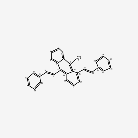 N#Cc1c2ccccc2c(C=Cc2ccccc2)c2cccc(C=Cc3ccccc3)c12